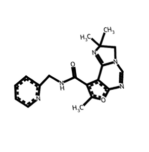 Cc1oc2c(c1C(=O)NCc1ccccn1)C1=NC(C)(C)CN1C=N2